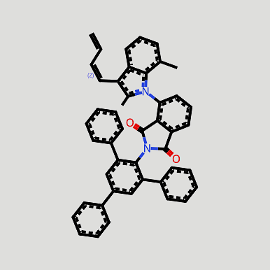 C=C/C=C\c1c(C)n(-c2cccc3c2C(=O)N(c2c(-c4ccccc4)cc(-c4ccccc4)cc2-c2ccccc2)C3=O)c2c(C)cccc12